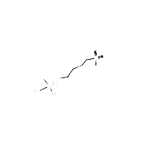 CC[N+](CC)(CC)CC.O=S(=O)([O-])CCCCF